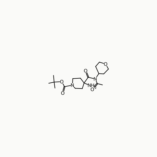 CC(=O)N(C(=O)C1(N)CCN(C(=O)OC(C)(C)C)CC1)C1CCOCC1